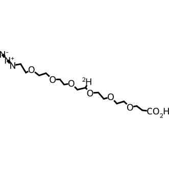 [2H]C(COCCOCCOCCN=[N+]=[N-])OCCOCCOCCC(=O)O